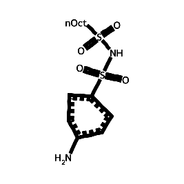 CCCCCCCCS(=O)(=O)NS(=O)(=O)c1ccc(N)cc1